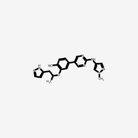 CC(Cc1ccn[nH]1)Oc1cc(-c2cnc(Nc3cnn(C)c3)nc2)ccc1C#N